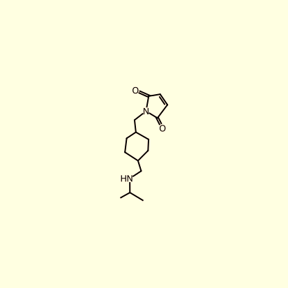 CC(C)NCC1CCC(CN2C(=O)C=CC2=O)CC1